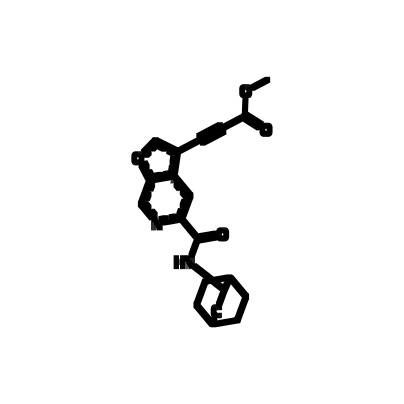 COC(=O)C#Cc1coc2cnc(C(=O)NC3CC4CCC3CC4)cc12